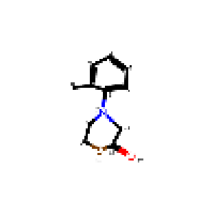 Cc1ccccc1N1CCSC(=O)C1